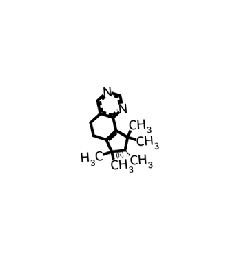 C[C@@H]1C(C)(C)C2=C(c3ncncc3CC2)C1(C)C